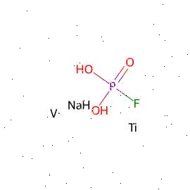 O=P(O)(O)F.[NaH].[Ti].[V]